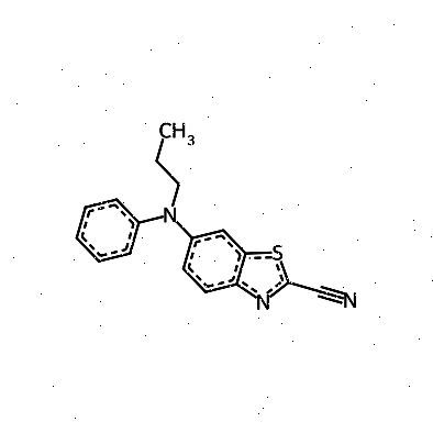 CCCN(c1ccccc1)c1ccc2nc(C#N)sc2c1